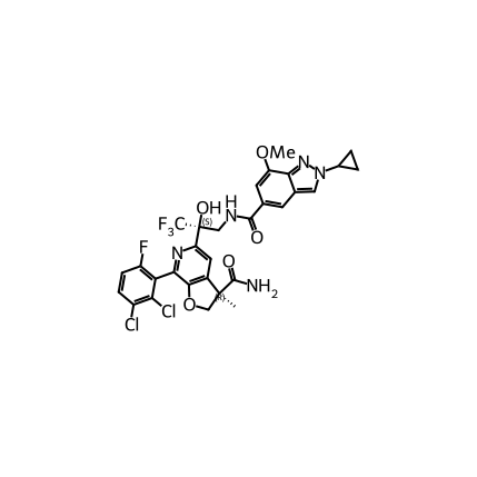 COc1cc(C(=O)NC[C@](O)(c2cc3c(c(-c4c(F)ccc(Cl)c4Cl)n2)OC[C@]3(C)C(N)=O)C(F)(F)F)cc2cn(C3CC3)nc12